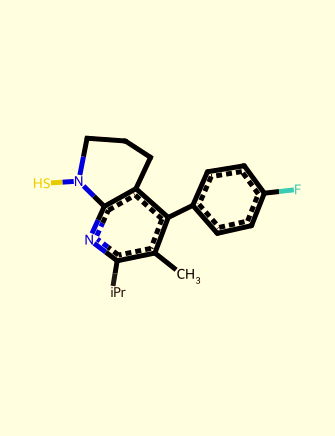 Cc1c(C(C)C)nc2c(c1-c1ccc(F)cc1)CCCN2S